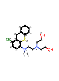 CN(CCN(CCO)CCO)c1ccc(Cl)c2c1Sc1ccccc1C2